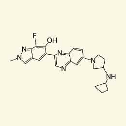 Cn1cc2cc(-c3cnc4cc(N5CCC(NC6CCC6)C5)ccc4n3)c(O)c(F)c2n1